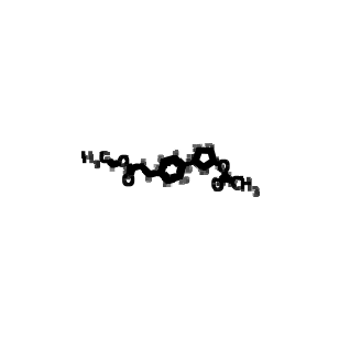 CCOC(=O)CCc1ccc([C@H]2CC[C@@H](OC(C)=O)C2)cc1